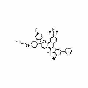 CCCCOc1ccc(C2(c3ccc(F)cc3)C=Cc3c4c(c5ccc(C(F)(F)F)cc5c3O2)-c2cc(-c3ccccc3)cc(Br)c2C4(C)C)cc1